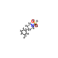 Cc1cccc(C2CCN(S(C)(=O)=O)CC2)c1